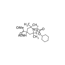 COC(=O)C1(NC(C)=O)CC(C)(C)N(CC(=O)OC2CCCCC2)C(C)(C)C1